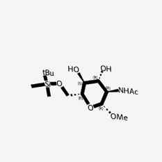 CO[C@@H]1O[C@H](CO[Si](C)(C)C(C)(C)C)[C@@H](O)[C@H](O)[C@H]1NC(C)=O